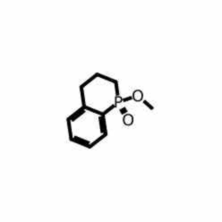 COP1(=O)CCCc2ccccc21